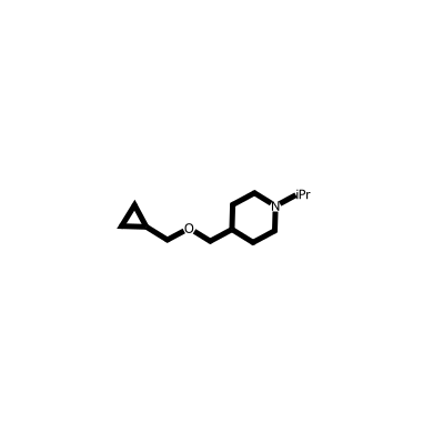 CC(C)N1CCC(COCC2CC2)CC1